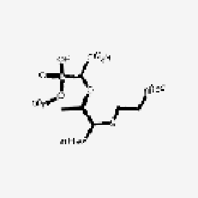 CCCCCCCCCCCCSC(CCCCCC)C(C)OC(C(=O)O)P(=O)(O)OCCC